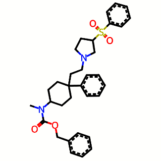 CN(C(=O)OCc1ccccc1)C1CCC(CCN2CCC(S(=O)(=O)c3ccccc3)C2)(c2ccccc2)CC1